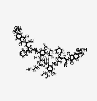 CCN(CC)c1cc(Nc2nc(Nc3cc(N(CC)CC)c(OC)cc3/N=N/c3nc(N4CCCCC4)c(/C=C(\C#N)N4C(=O)c5ccc(S(=O)(=O)O)cc5C4=O)s3)nc(SCCO)n2)c(/N=N/c2nc(N3CCCCC3)c(/C=C(\C#N)N3C(=O)c4ccc(S(=O)(=O)O)cc4C3=O)s2)cc1OC